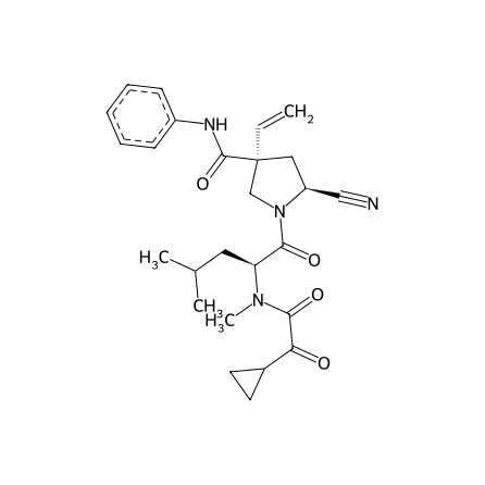 C=C[C@]1(C(=O)Nc2ccccc2)C[C@@H](C#N)N(C(=O)[C@H](CC(C)C)N(C)C(=O)C(=O)C2CC2)C1